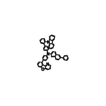 c1ccc(-c2ccc3cc(N(c4ccc(-c5ccccc5-n5c6ccccc6c6ccccc65)cc4)c4ccc(-c5cccc6oc7cccnc7c56)cc4)ccc3c2)cc1